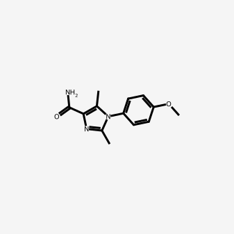 COc1ccc(-n2c(C)nc(C(N)=O)c2C)cc1